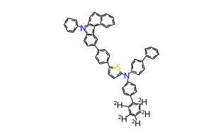 [2H]c1c([2H])c([2H])c(-c2ccc(N(c3ccc(-c4ccccc4)cc3)c3ccc(-c4ccc(-c5ccc6c(c5)c5c7ccccc7ccc5n6-c5ccccc5)cc4)s3)cc2)c([2H])c1[2H]